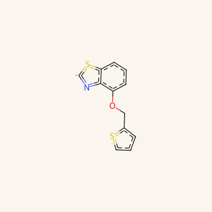 [c]1nc2c(OCc3cccs3)cccc2s1